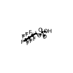 O=S(=O)(O)OCC(F)(F)C(F)(F)C(F)(F)F